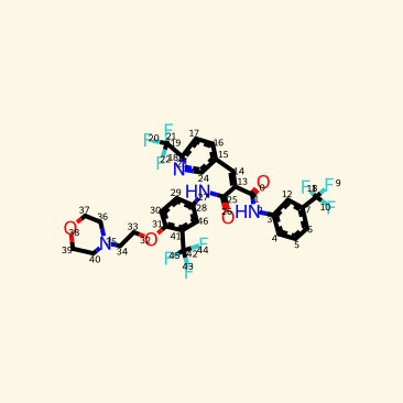 O=C(Nc1cccc(C(F)(F)F)c1)/C(=C/c1ccc(C(F)(F)F)nc1)C(=O)Nc1ccc(OCCN2CCOCC2)c(C(F)(F)F)c1